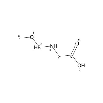 COBNCC(=O)O